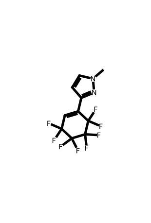 Cn1ccc(C2=CC(F)(F)C(F)(F)C(F)(F)C2(F)F)n1